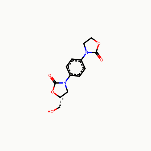 O=C1OCCN1c1ccc(N2C[C@H](CO)OC2=O)cc1